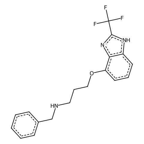 FC(F)(F)c1nc2c(OCCCNCc3ccccc3)cccc2[nH]1